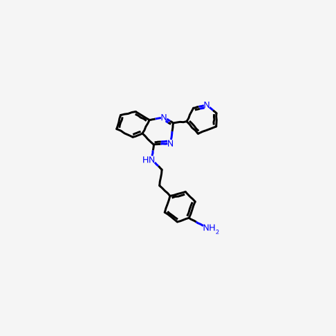 Nc1ccc(CCNc2nc(-c3cccnc3)nc3ccccc23)cc1